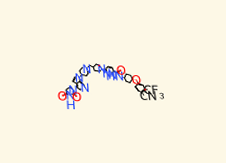 N#Cc1ccc(O[C@H]2CC[C@H](NC(=O)c3ccc(N4CCC(CN5CCC(n6ccc7c(N8CCC(=O)NC8=O)cncc76)CC5)CC4)nn3)CC2)cc1C(F)(F)F